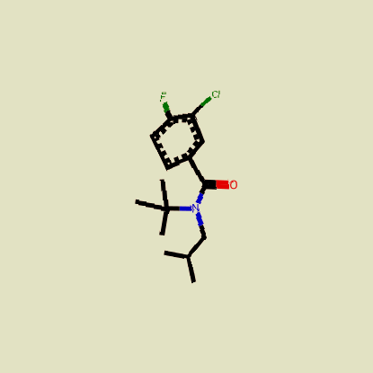 CC(C)CN(C(=O)c1ccc(F)c(Cl)c1)C(C)(C)C